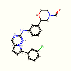 O=CN1CCOC(c2cccc(Nc3ncc4ccc(-c5cccc(Cl)c5)n4n3)c2)C1